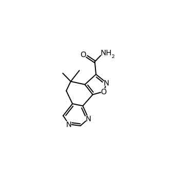 CC1(C)Cc2cncnc2-c2onc(C(N)=O)c21